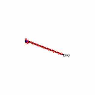 O=CCCOCCOCCOCCOCCOCCOCCOCCOCCOCCOCCOCCOCCOCCC(=O)ON1C(=O)CCC1=O